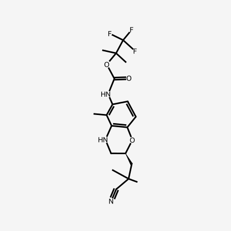 Cc1c(NC(=O)OC(C)(C)C(F)(F)F)ccc2c1NC[C@H](CC(C)(C)C#N)O2